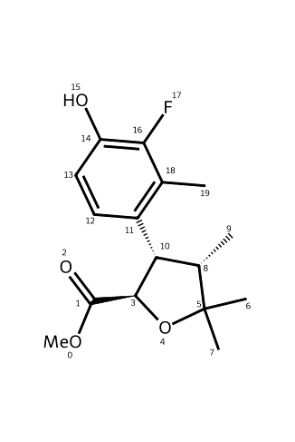 COC(=O)[C@@H]1OC(C)(C)[C@@H](C)[C@H]1c1ccc(O)c(F)c1C